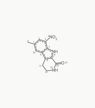 Cc1cc([N+](=O)[O-])c2[nH]c3c(c2c1)CCNC3=O